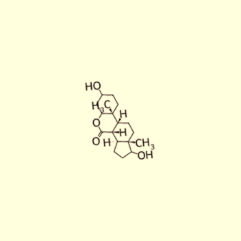 C[C@]12CCC(O)CC1OC(=O)[C@@H]1[C@H]2CC[C@]2(C)C(O)CC[C@@H]12